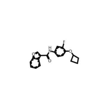 O=C(Nc1ccc(OC2CCC2)c(F)c1)c1coc2ccccc12